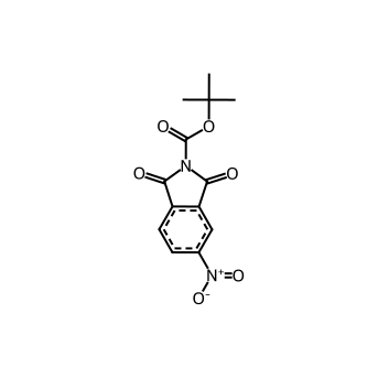 CC(C)(C)OC(=O)N1C(=O)c2ccc([N+](=O)[O-])cc2C1=O